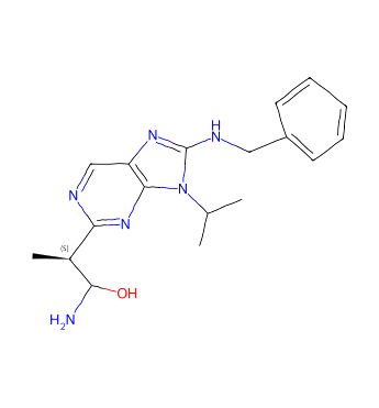 CC(C)n1c(NCc2ccccc2)nc2cnc([C@H](C)C(N)O)nc21